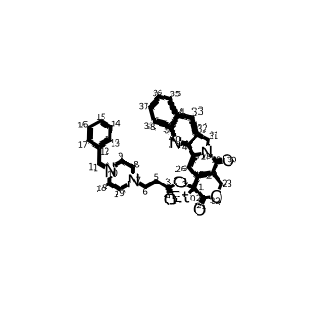 CCC1(OC(=O)CCN2CCN(Cc3ccccc3)CC2)C(=O)OCc2c1cc1n(c2=O)Cc2cc3ccccc3nc2-1